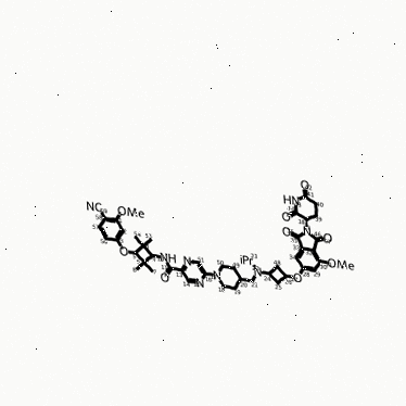 COc1cc(OC2C(C)(C)C(NC(=O)c3cnc(N4CCC(CN(C(C)C)C5CC(Oc6cc(OC)c7c(c6)C(=O)N([C@@H]6CCC(=O)NC6=O)C7=O)C5)CC4)cn3)C2(C)C)ccc1C#N